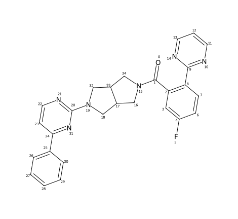 O=C(c1cc(F)ccc1-c1ncccn1)N1CC2CN(c3nccc(-c4ccccc4)n3)CC2C1